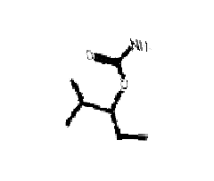 CCC(OC([NH])=O)C(C)C